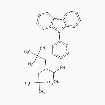 C=C(Nc1ccc(-n2c3ccccc3c3ccccc32)cc1)C(CC(C)(C)C)CC(C)(C)C